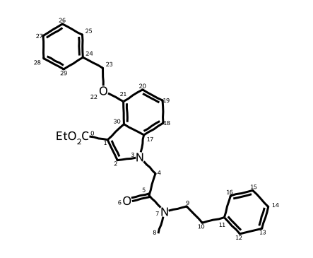 CCOC(=O)c1cn(CC(=O)N(C)CCc2ccccc2)c2cccc(OCc3ccccc3)c12